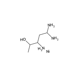 CC(O)C(N)CC(N)N.[Ni]